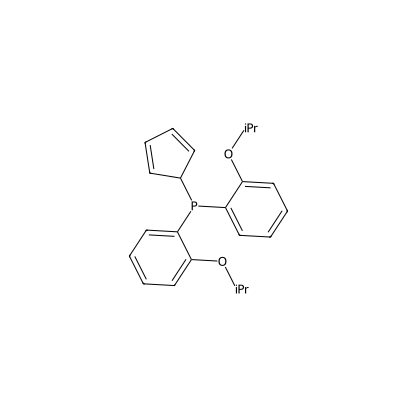 CC(C)Oc1ccccc1P(c1ccccc1OC(C)C)C1C=CC=C1